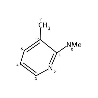 [CH]Nc1ncccc1C